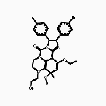 CCOC1=CC(C)(OC)C2=C3N(CCN2CCO)C(=O)N2C(=NC(c4ccc(Br)cc4)C2c2ccc(C)cc2)C13C